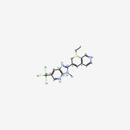 CCSC/C(=C\c1ccncc1)c1nc2cc(C(F)(F)F)cnc2n1C